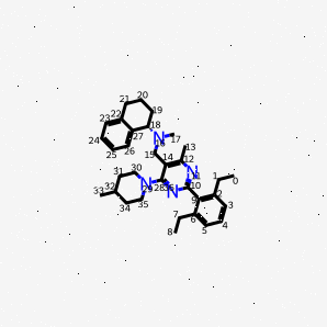 CCc1cccc(CC)c1-c1nc(C)c(CN(C)[C@H]2CCCc3ccccc32)c(N2CCC(C)CC2)n1